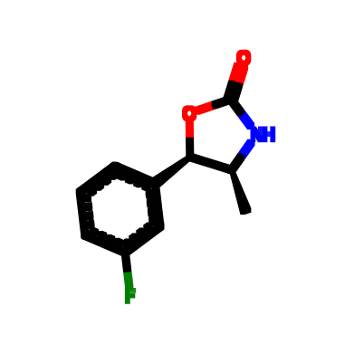 C[C@@H]1NC(=O)O[C@@H]1c1cccc(F)c1